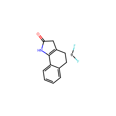 F[B]F.O=C1CC2=C(N1)c1ccccc1CC2